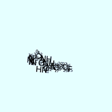 Cc1cc(NC(=O)N[C@H]2CNCC[C@H]2CN2CCC[C@@H](Cc3ccc(F)cc3)C2)cc(-c2nnnn2C)c1